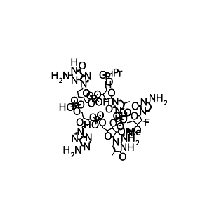 COC1C(OP(=O)(O)OCC2OC(n3ccc(N)nc3=O)C(F)C2OC(C)C)C(COP(=O)(O)OC2CC(n3cnc4c(N)ncnc43)OC2COP(=O)(O)OC2CC(n3cnc4c(=O)[nH]c(N)nc43)OC2COP(=O)(O)OC2CC(n3cc(C)c(=O)[nH]c3=O)OC2CO[PH](=O)C(C)C)OC1N1C=C(C)C(=O)NC1N